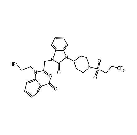 CC(C)CCn1c(Cn2c(=O)n(C3CCN(S(=O)(=O)CCC(F)(F)F)CC3)c3ccccc32)nc(=O)c2ccccc21